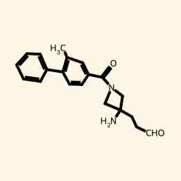 Cc1cc(C(=O)N2CC(N)(CCC=O)C2)ccc1-c1ccccc1